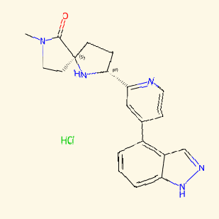 CN1CC[C@@]2(CC[C@H](c3cc(-c4cccc5[nH]ncc45)ccn3)N2)C1=O.Cl